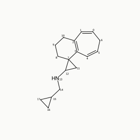 C1=CC2=C(C=CC1)C1(CCC2)CC1NCC1CC1